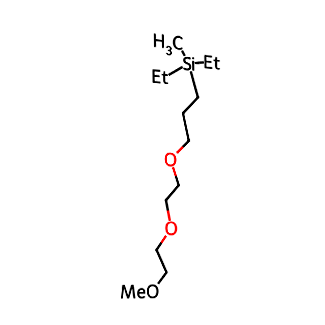 CC[Si](C)(CC)CCCOCCOCCOC